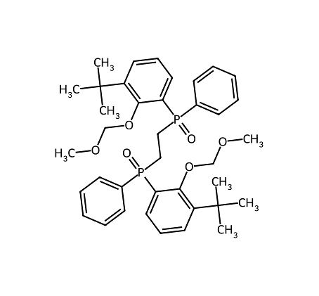 COCOc1c(C(C)(C)C)cccc1P(=O)(CCP(=O)(c1ccccc1)c1cccc(C(C)(C)C)c1OCOC)c1ccccc1